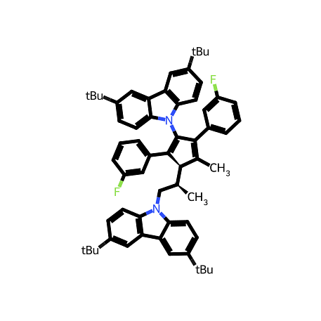 CC1=C(c2cccc(F)c2)C(n2c3ccc(C(C)(C)C)cc3c3cc(C(C)(C)C)ccc32)=C(c2cccc(F)c2)[C@@H]1[C@@H](C)Cn1c2ccc(C(C)(C)C)cc2c2cc(C(C)(C)C)ccc21